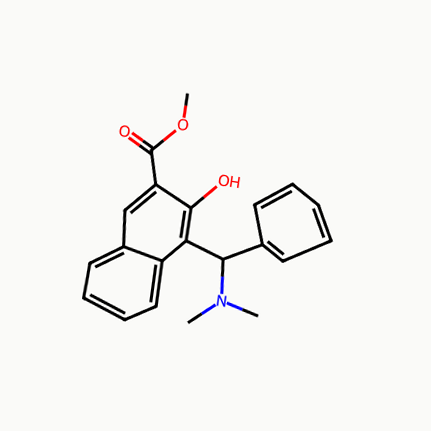 COC(=O)c1cc2ccccc2c(C(c2ccccc2)N(C)C)c1O